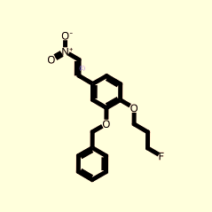 O=[N+]([O-])/C=C/c1ccc(OCCCF)c(OCc2ccccc2)c1